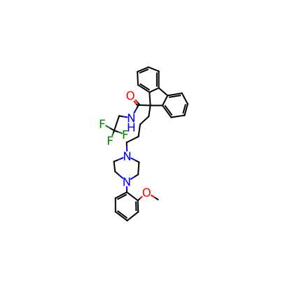 COc1ccccc1N1CCN(CCCCC2(C(=O)NCC(F)(F)F)c3ccccc3-c3ccccc32)CC1